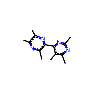 Cc1nc(C)c(C)c(-c2nc(C)c(C)nc2C)n1